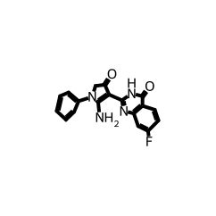 NC1=C(c2nc3cc(F)ccc3c(=O)[nH]2)C(=O)CN1c1ccccc1